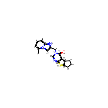 Cc1cccc2nc(Cn3cnc4sc5c(c4c3=O)CCC5)cn12